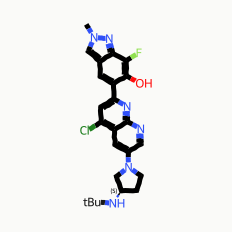 Cn1cc2cc(-c3cc(Cl)c4cc(N5CC[C@H](NC(C)(C)C)C5)cnc4n3)c(O)c(F)c2n1